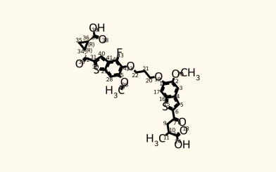 COc1cc2cc(C(=O)CC(C)C(=O)O)sc2cc1OCCCOc1c(OC)cc2sc(C(=O)[C@@H]3C[C@H]3C(=O)O)cc2c1F